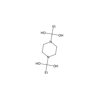 CCC(O)(O)N1CCN(C(O)(O)CC)CC1